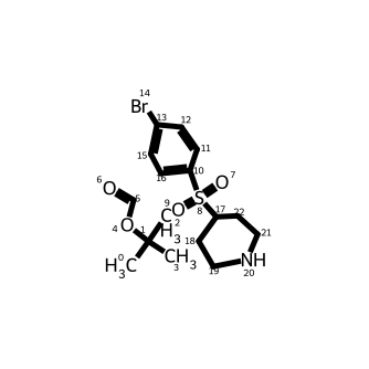 CC(C)(C)OC=O.O=S(=O)(c1ccc(Br)cc1)C1CCNCC1